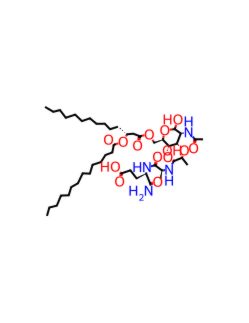 CCCCCCCCCCCCCC(=O)O[C@H](CCCCCCCCCCC)CC(=O)OC[C@H]1OC(O)[C@H](NC(C)=O)[C@H](OC(C)C(=O)N[C@@H](C)C(=O)N[C@H](CCC(=O)O)C(N)=O)[C@@H]1O